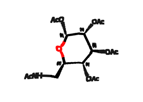 CC(=O)NC[C@H]1O[C@H](OC(C)=O)[C@H](OC(C)=O)[C@@H](OC(C)=O)[C@@H]1OC(C)=O